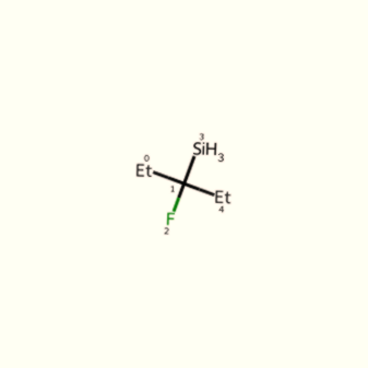 CCC(F)([SiH3])CC